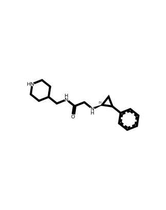 O=C(CN[C@H]1CC1c1ccccc1)NCC1CCNCC1